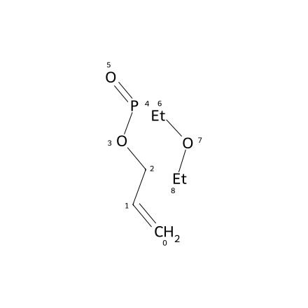 C=CCOP=O.CCOCC